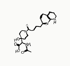 CC(=O)NC(C(=O)O)C1(O)CCN(C(=O)CCCc2ccc3c(n2)NCCC3)CC1